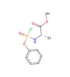 CCCOC(=O)[C@H](CC)NP(=O)(Cl)Oc1ccccc1